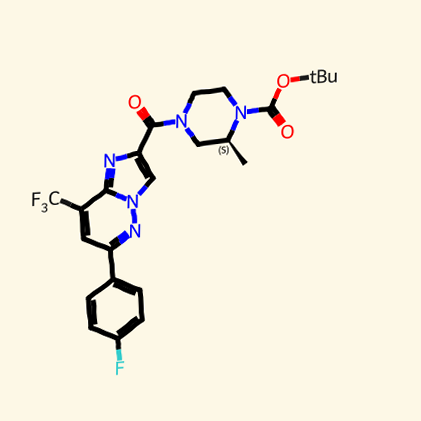 C[C@H]1CN(C(=O)c2cn3nc(-c4ccc(F)cc4)cc(C(F)(F)F)c3n2)CCN1C(=O)OC(C)(C)C